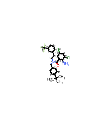 CC(C)(C)c1ccc(CN(CCc2cccc(C(F)(F)F)c2)C(=O)c2cc(Cl)cc(Cl)c2N)cc1